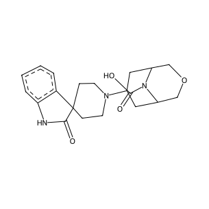 O=C(O)N1C2COCC1CC(N1CCC3(CC1)C(=O)Nc1ccccc13)C2